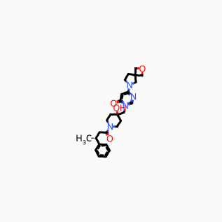 C[C@H](CC(=O)N1CCC(O)(Cn2cnc(N3CCC4(COC4)C3)cc2=O)CC1)c1ccccc1